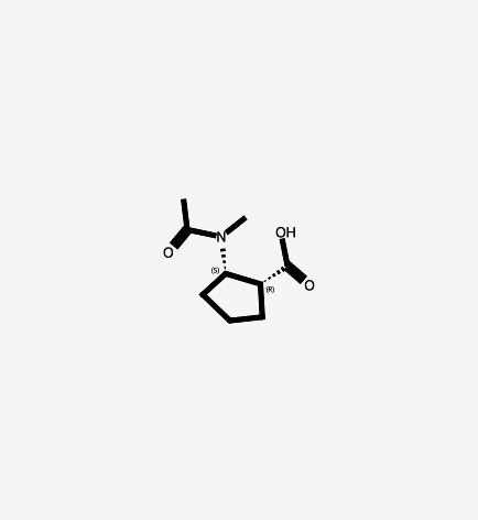 CC(=O)N(C)[C@H]1CCC[C@H]1C(=O)O